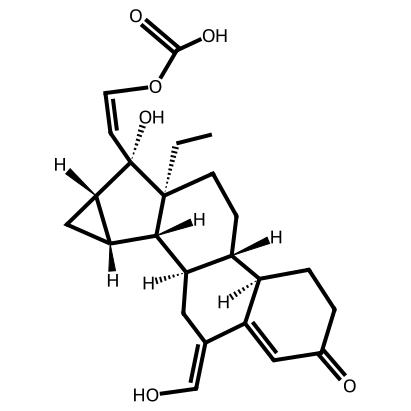 CC[C@]12CC[C@H]3[C@@H](CC(=CO)C4=CC(=O)CC[C@@H]43)[C@@H]1[C@@H]1C[C@@H]1[C@@]2(O)/C=C\OC(=O)O